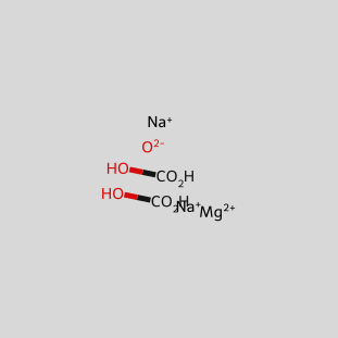 O=C(O)O.O=C(O)O.[Mg+2].[Na+].[Na+].[O-2]